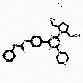 O=C(Nc1ccncc1)Nc1ccc(-c2nc(N3CCOCC3)nc(N3C(CO)CCC3CO)n2)cc1